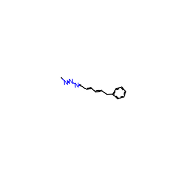 C/N=N/N=C/C=C/C=C/Cc1ccccc1